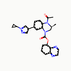 CC(=O)N1c2ccc(-c3cnn(C4CC4)c3)cc2N(C(=O)Oc2cccc3nccnc23)C[C@@H]1C